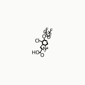 C[N+]1(C)C(C(=O)O)=Cc2c1ccc(OS(=O)(=O)C(F)(F)F)c2Cl